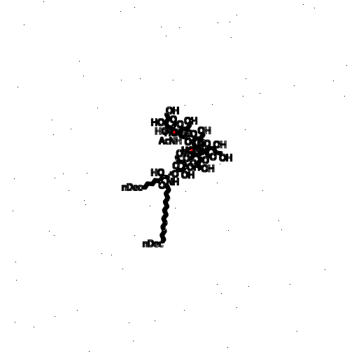 CCCCCCCCCCCCC/C=C/[C@@H](O)[C@H](CO[C@@H]1OC(CO)[C@@H](O[C@@H]2OC(CO)[C@H](O[C@@H]3OC(CO)[C@H](O)[C@H](O)C3NC(C)=O)[C@H](O[C@H]3OC(CO)[C@H](O)[C@H](O[C@@H]4OC(CO)[C@@H](O[C@@H]5OC(CO)[C@H](O)[C@H](O)C5O)[C@H](O)C4NC(C)=O)C3O)C2O)[C@H](O)C1O)NC(=O)CCCCCCCCCCCCCCCCCCCCCCC